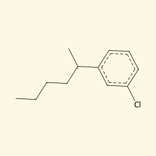 CCCC[C](C)c1cccc(Cl)c1